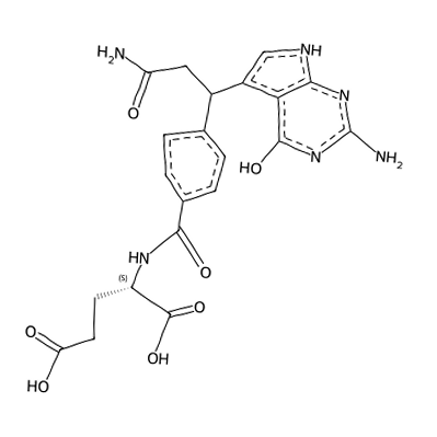 NC(=O)CC(c1ccc(C(=O)N[C@@H](CCC(=O)O)C(=O)O)cc1)c1c[nH]c2nc(N)nc(O)c12